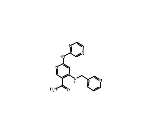 NC(=O)c1cnc(Nc2cnccn2)cc1NCc1cccnc1